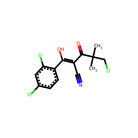 CC(C)(CCl)C(=O)/C(C#N)=C(\O)c1ccc(Cl)cc1Cl